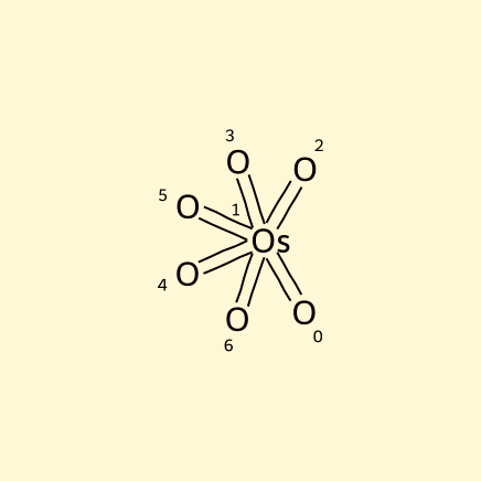 [O]=[Os](=[O])(=[O])(=[O])(=[O])=[O]